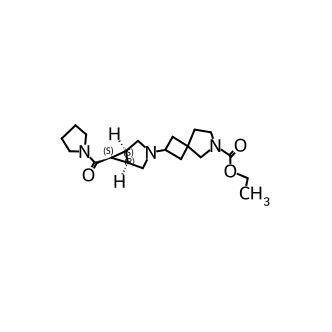 CCOC(=O)N1CCC2(CC(N3C[C@@H]4[C@H](C3)[C@@H]4C(=O)N3CCCC3)C2)C1